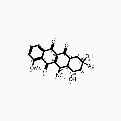 COc1cccc2c1C(=O)C1=C(C2=O)C(=O)C2C[C@@](O)(C(C)=O)C[C@H](O)C2C1[N+](=O)[O-]